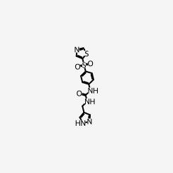 O=C(NCc1cn[nH]c1)Nc1ccc(S(=O)(=O)c2cncs2)cc1